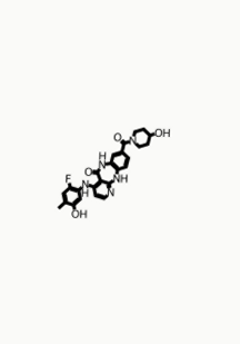 Cc1cc(F)c(Nc2ccnc3c2C(=O)Nc2cc(C(=O)N4CCC(O)CC4)ccc2N3)cc1O